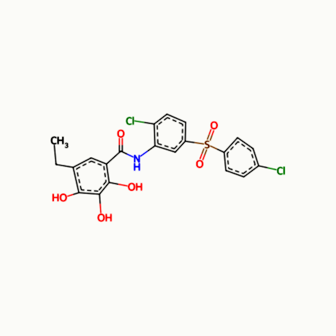 CCc1cc(C(=O)Nc2cc(S(=O)(=O)c3ccc(Cl)cc3)ccc2Cl)c(O)c(O)c1O